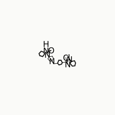 O=c1[nH]c2ccccc2n1C1CCN(Cc2ccc(-c3nc4ccccc4nc3Cl)cc2)CC1